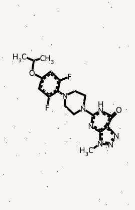 CC(C)Oc1cc(F)c(N2CCN(c3nc4c(nnn4C)c(=O)[nH]3)CC2)c(F)c1